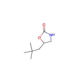 CC(C)(C)CC1CNC(=O)O1